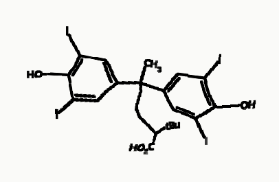 CC(CC(C(=O)O)C(C)(C)C)(c1cc(I)c(O)c(I)c1)c1cc(I)c(O)c(I)c1